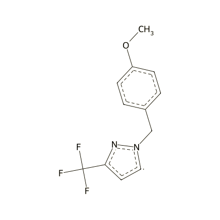 COc1ccc(Cn2[c]cc(C(F)(F)F)n2)cc1